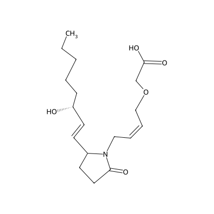 CCCCC[C@@H](O)/C=C/C1CCC(=O)N1C/C=C\COCC(=O)O